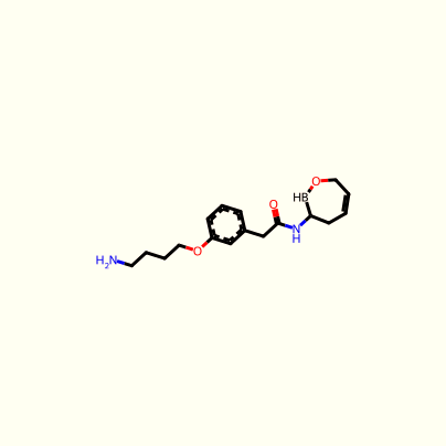 NCCCCOc1cccc(CC(=O)NC2BOCC=CC2)c1